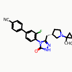 N#Cc1ccc(-c2ccc(-n3c(C[C@@H]4CCN(C5(C=O)CC5)C4)n[nH]c3=O)c(F)c2)cc1